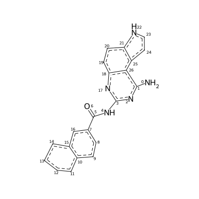 Nc1nc(NC(=O)c2ccc3ccccc3c2)nc2ccc3[nH]ccc3c12